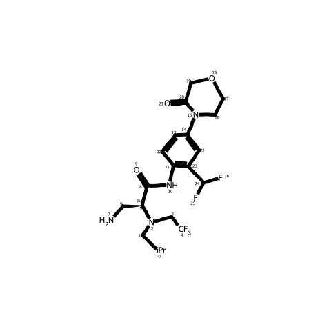 CC(C)CN(CC(F)(F)F)[C@@H](CN)C(=O)Nc1ccc(N2CCOCC2=O)cc1C(F)F